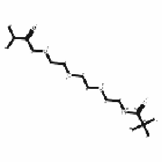 CC(C)C(=O)COCCOCCOCCNC(=O)C(C)(C)C